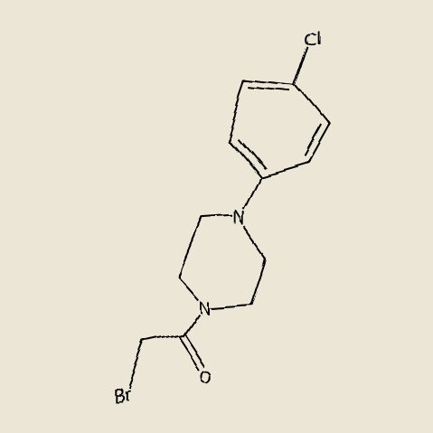 O=C(CBr)N1CCN(c2ccc(Cl)cc2)CC1